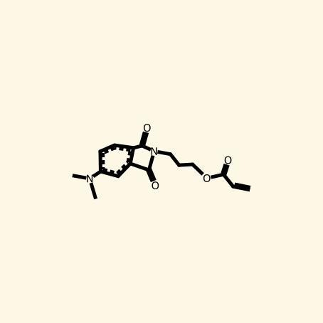 C=CC(=O)OCCCN1C(=O)c2ccc(N(C)C)cc2C1=O